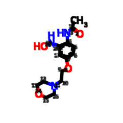 CC(=O)Nc1ccc(OCCN2CCOCC2)cc1NO